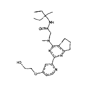 CCC(C)(CC)NC(=O)CN(C)c1nc(-c2cc(OCCO)ccn2)nc2c1CCC2